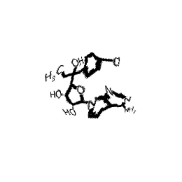 CCC(O)(c1ccc(Cl)cc1)C1O[C@@H](n2ccc3c(N)ncnc32)[C@H](O)[C@@H]1O